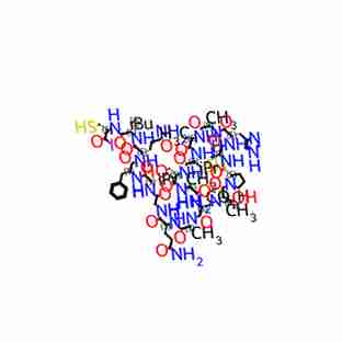 CC[C@H](C)[C@H](NC(=O)[C@H](CCC(N)=O)NC(=O)[C@H](Cc1ccccc1)NC(=O)[C@@H](NC(=O)CNC(=O)[C@H](CCC(N)=O)NC(=O)[C@H](C)NC(=O)[C@H](CC(=O)O)NC(=O)[C@H](C)NC(=O)[C@H](CO)NC(=O)[C@@H](NC(=O)[C@H](C)NC(=O)[C@H](C)NC(=O)[C@H](Cc1c[nH]cn1)NC(=O)[C@H](CS)NC(=O)[C@@H]1CCCN1C(=O)[C@@H](N)[C@@H](C)O)C(C)C)C(C)C)C(=O)N[C@@H](CS)C(=O)I